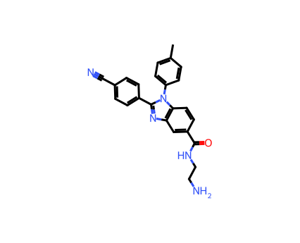 Cc1ccc(-n2c(-c3ccc(C#N)cc3)nc3cc(C(=O)NCCN)ccc32)cc1